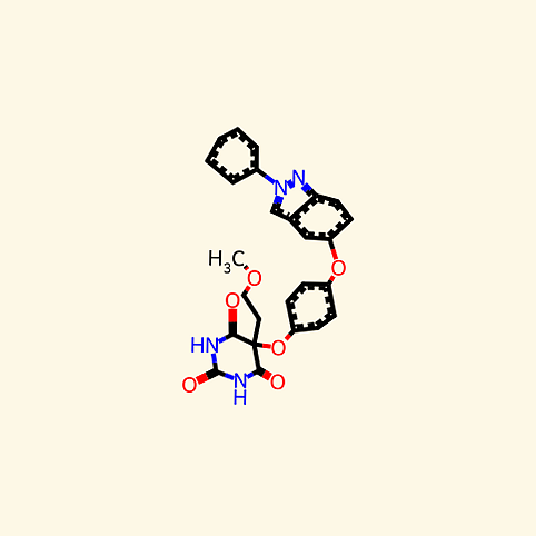 COCCC1(Oc2ccc(Oc3ccc4nn(-c5ccccc5)cc4c3)cc2)C(=O)NC(=O)NC1=O